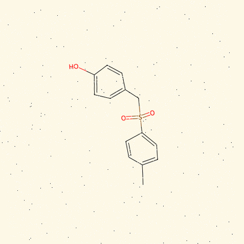 Cc1ccc(S(=O)(=O)Cc2ccc(O)cc2)cc1